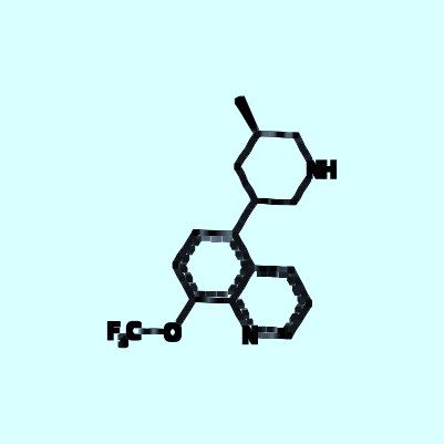 C[C@H]1CNCC(c2ccc(OC(F)(F)F)c3ncccc23)C1